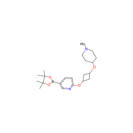 CC(C)(C)N1CCC(OC2CC(Oc3ccc(B4OC(C)(C)C(C)(C)O4)cn3)C2)CC1